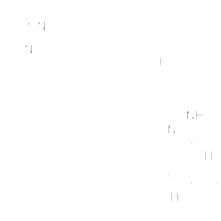 Cc1nc(-c2ccc(-c3ccc(-c4c(F)cc5[nH]c(OC6CO[C@@H]7CCO[C@H]67)nc5c4F)cc3)cc2)no1